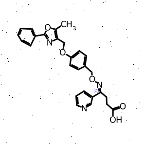 Cc1oc(-c2ccccc2)nc1COc1ccc(CO/N=C(/CCC(=O)O)c2cccnc2)cc1